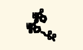 CCCC(=O)OC(C)=O.O=C1NS(=O)(=O)c2ccccc21.O=C1NS(=O)(=O)c2ccccc21